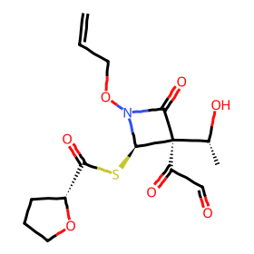 C=CCON1C(=O)[C@@](C(=O)C=O)([C@@H](C)O)[C@H]1SC(=O)[C@H]1CCCO1